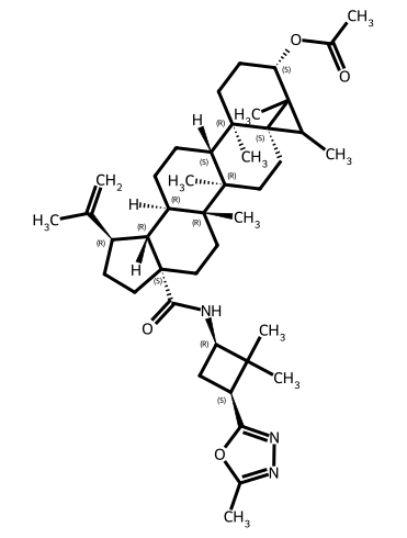 C=C(C)[C@@H]1CC[C@]2(C(=O)N[C@@H]3C[C@H](c4nnc(C)o4)C3(C)C)CC[C@]3(C)[C@H](CC[C@H]4[C@@]3(C)CC[C@@]35C(C)C3(C)[C@@H](OC(C)=O)CC[C@]45C)[C@@H]12